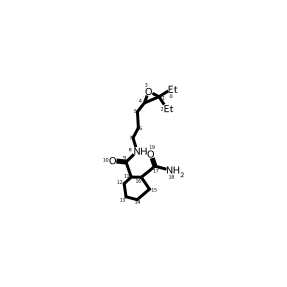 CCC1(CC)OC1CCCNC(=O)C1CCCCC1C(N)=O